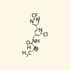 CN1C2CC(C2)[C@H]1C(=O)NCc1cc(Cl)nc(-c2cnc(C(F)(F)F)nc2)c1